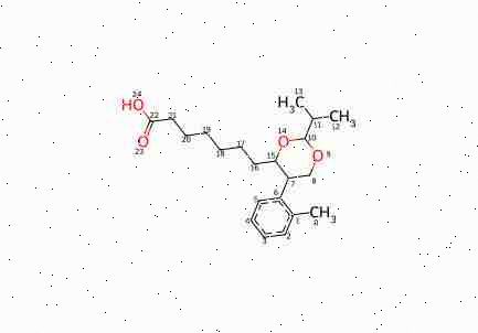 Cc1ccccc1C1COC(C(C)C)OC1CCCCCCC(=O)O